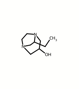 CCC1CN2CCN1CC(O)C2